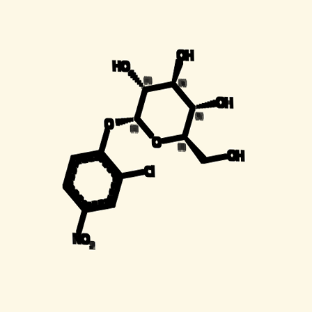 O=[N+]([O-])c1ccc(O[C@H]2O[C@H](CO)[C@@H](O)[C@H](O)[C@H]2O)c(Cl)c1